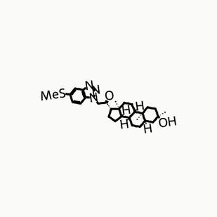 CSc1ccc2c(c1)nnn2CC(=O)[C@H]1CC[C@H]2[C@@H]3CC[C@@H]4C[C@](C)(O)CC[C@]4(C)[C@H]3CC[C@]12C